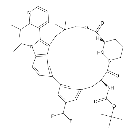 CCn1c(-c2cccnc2C(C)C)c2c3cc(ccc31)-c1cc(cc(C(F)F)c1)C[C@H](NC(=O)OC(C)(C)C)C(=O)N1CCC[C@H](N1)C(=O)OCC(C)(C)C2